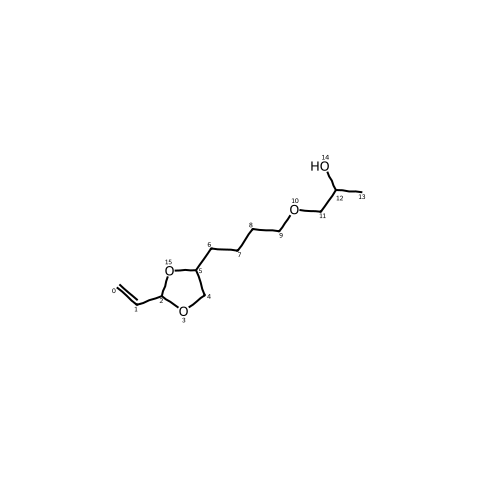 C=CC1OCC(CCCCOCC(C)O)O1